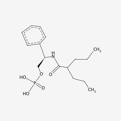 CCCC(CCC)C(=O)N[C@@H](COP(=O)(O)O)c1ccccc1